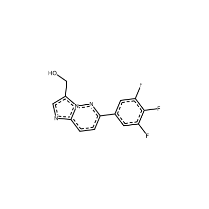 OCc1cnc2ccc(-c3cc(F)c(F)c(F)c3)nn12